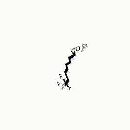 CCOC(=O)/C=C/CCCCCC(F)(F)C(F)(F)F